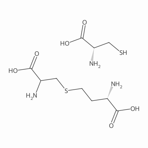 NC(CSCC[C@H](N)C(=O)O)C(=O)O.N[C@@H](CS)C(=O)O